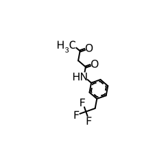 CC(=O)CC(=O)Nc1cccc(CC(F)(F)F)c1